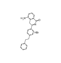 Br.Nc1cccc2c1CC(c1ccc(CCc3ccccc3)cc1)=NC2=O